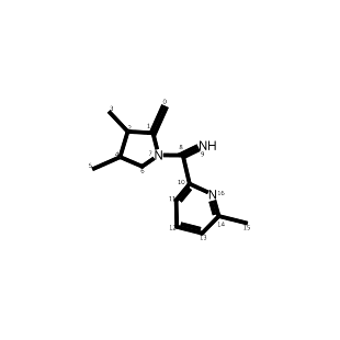 C=C1C(C)C(C)CN1C(=N)c1cccc(C)n1